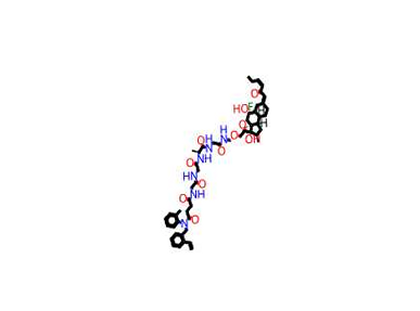 C=Cc1ccccc1CN(C(=O)CCC(=O)NCC(=O)NCC(=O)N[C@@H](C)C(=O)NCC(=O)NCOCC(=O)[C@@]1(O)[C@H](C)C[C@H]2[C@@H]3CC/C(=C/C(=O)/C=C\CC)C[C@@]3(F)[C@@H](O)C[C@@]21C)c1ccccc1C